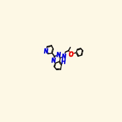 CC(CNc1nc(-c2cccnc2)nc2ccccc12)Oc1ccccc1